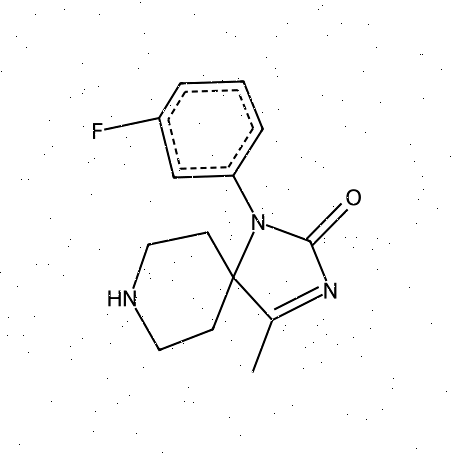 CC1=NC(=O)N(c2cccc(F)c2)C12CCNCC2